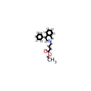 CCOC(=O)/C=C/CN1Cc2ccccc2[C@@H](c2ccccc2)C1